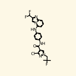 CC(C)(F)Cn1cc(C(=O)Nc2ccc(Nc3cccc4nc(C(F)F)cn34)cc2)c(Cl)n1